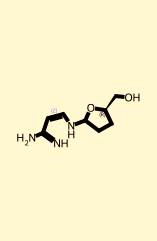 N=C(N)/C=C\NC1CC[C@H](CO)O1